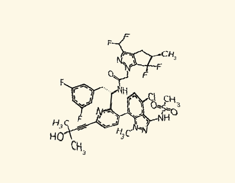 C[C@@H]1Cc2c(C(F)F)nn(CC(=O)N[C@@H](Cc3cc(F)cc(F)c3)c3nc(C#CC(C)(C)O)ccc3-c3ccc(Cl)c4c(NS(C)(=O)=O)nn(C)c34)c2C1(F)F